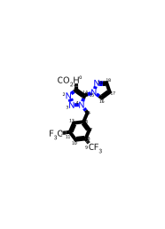 O=C(O)c1nnn(Cc2cc(C(F)(F)F)cc(C(F)(F)F)c2)c1-n1cccn1